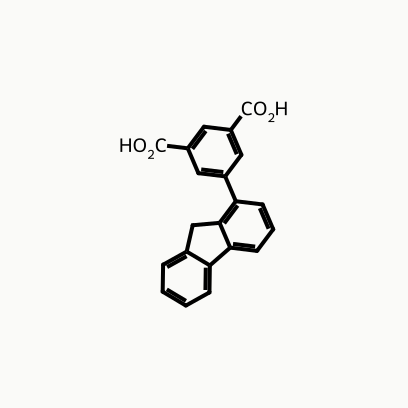 O=C(O)c1cc(C(=O)O)cc(-c2cccc3c2Cc2ccccc2-3)c1